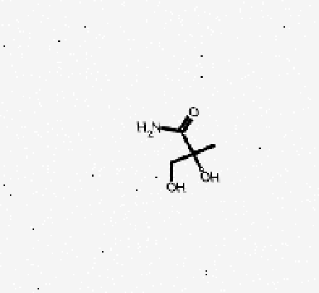 CC(O)(CO)C(N)=O